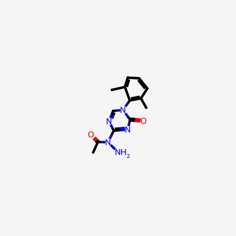 CC(=O)N(N)c1ncn(-c2c(C)cccc2C)c(=O)n1